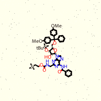 COc1ccc(C(OC[C@H]2O[C@@H](n3cnc4c(NC(=O)c5ccccc5)nc(CNC(=O)OCC[Si](C)(C)C)nc43)[C@H](O)[C@@H]2O[Si](C)(C)C(C)(C)C)(c2ccccc2)c2ccc(OC)cc2)cc1